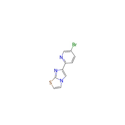 Brc1ccc(-c2cn3ccsc3n2)nc1